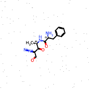 C[C@@H](NC(=O)[C@@H](N)Cc1ccccc1)C(=O)C(C=O)=[N+]=[N-]